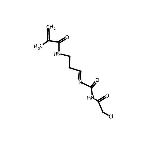 C=C(C)C(=O)NCCC=NC(=O)NC(=O)CCl